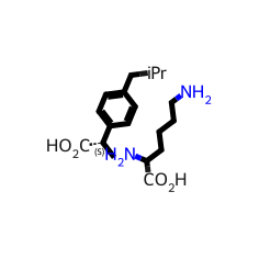 CC(C)Cc1ccc([C@H](C)C(=O)O)cc1.NCCCCC(N)C(=O)O